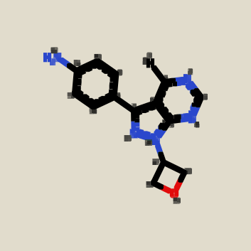 [2H]c1ncnc2c1c(-c1ccc(N)cc1)nn2C1COC1